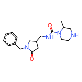 CC1CNCCN1C(=O)NCC1CC(=O)N(Cc2ccccc2)C1